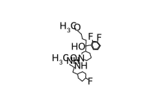 CNCC(CC1CCC(F)CC1)NC(=O)N1CCCC(C(O)(CCCCOC)c2cccc(F)c2F)C1